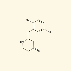 O=C1CCNC(=Cc2cc(Cl)ccc2Cl)C1